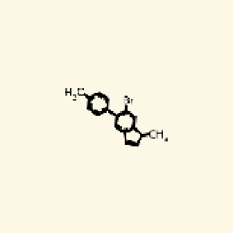 Cc1ccc(-c2cc3c(cc2Br)C(C)C=C3)cc1